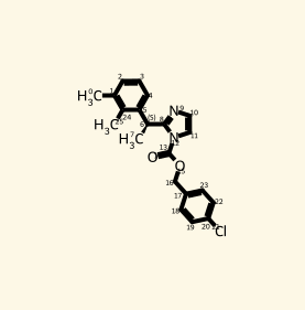 Cc1cccc([C@H](C)c2nccn2C(=O)OCc2ccc(Cl)cc2)c1C